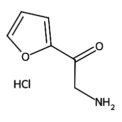 Cl.NCC(=O)c1ccco1